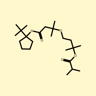 CC(C)C(=O)OC(C)(C)CCOC(C)(C)CC(=O)OC1(C(C)(C)C)CCCC1